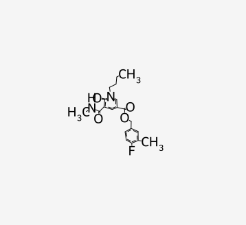 CCCCn1cc(C(=O)OCc2ccc(F)c(C)c2)cc(C(=O)NC)c1=O